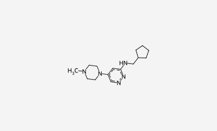 CN1CCN(c2cnnc(NCC3CCCC3)c2)CC1